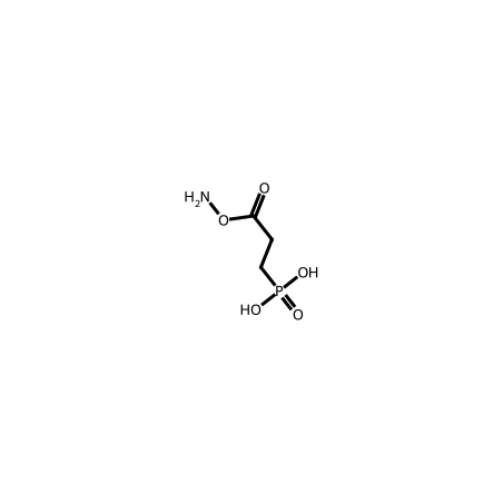 NOC(=O)CCP(=O)(O)O